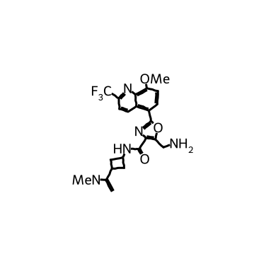 C=C(NC)C1CC(NC(=O)c2nc(-c3ccc(OC)c4nc(C(F)(F)F)ccc34)oc2CN)C1